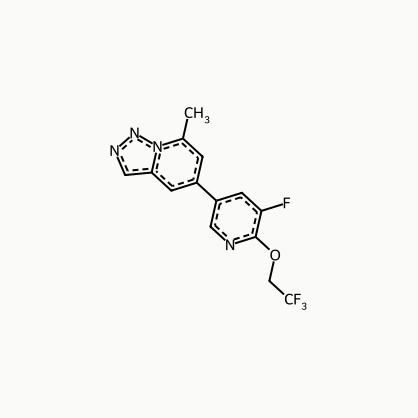 Cc1cc(-c2cnc(OCC(F)(F)F)c(F)c2)cc2cnnn12